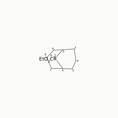 CCOC(=O)B1C2CCCC1CCC2